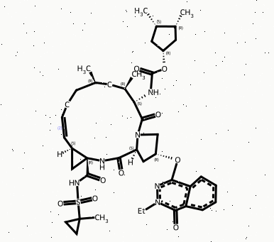 CCn1nc(O[C@@H]2C[C@H]3C(=O)N[C@]4(C(=O)NS(=O)(=O)C5(C)CC5)C[C@H]4/C=C\CC[C@@H](C)C[C@@H](C)[C@H](NC(=O)O[C@H]4C[C@@H](C)[C@@H](C)C4)C(=O)N3C2)c2ccccc2c1=O